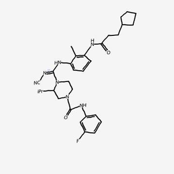 Cc1c(NC(=O)CCC2CCCC2)cccc1N/C(=N/C#N)N1CCN(C(=O)Nc2cccc(F)c2)CC1C(C)C